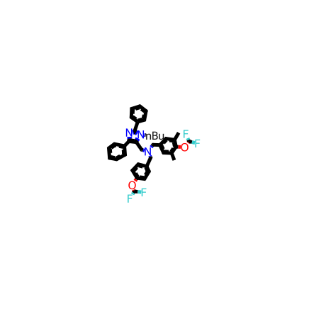 CCCCn1c(-c2ccccc2)nc(-c2ccccc2)c1CN(Cc1ccc(OC(F)F)cc1)Cc1cc(C)c(OC(F)F)c(C)c1